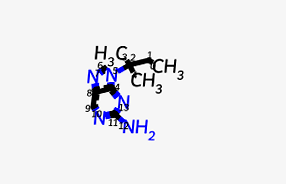 CCC(C)(C)n1cnc2cnc(N)nc21